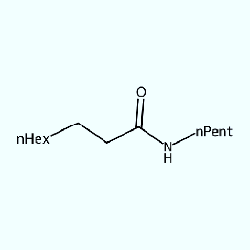 CCCCCCCCC(=O)NCCCCC